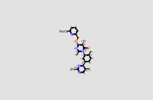 COc1cccc(COc2nc(C)n(-c3cc(-c4nc(C(C)C)ncc4C)ccc3C)c(=O)c2Br)n1